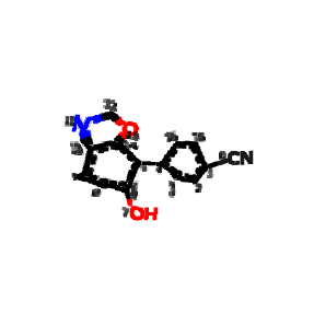 N#Cc1ccc(-c2c(O)ccc3ncoc23)cc1